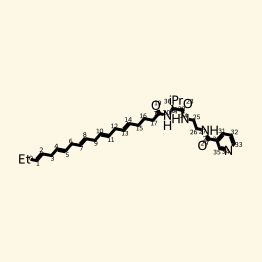 CCC=CCC=CCC=CCC=CCC=CCCCC(=O)N[C@H](C(=O)NCCNC(=O)c1cccnc1)C(C)C